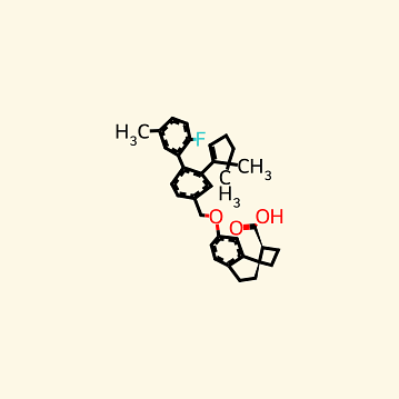 Cc1ccc(F)c(-c2ccc(COc3ccc4c(c3)[C@@]3(CC4)CC[C@@H]3C(=O)O)cc2C2=CCCC2(C)C)c1